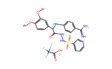 CCOc1cc(C(Nc2ccc(C(=N)N)cc2)C(=O)NNS(=O)(=O)c2cccnc2)ccc1OC(C)C.O=C(O)C(F)(F)F